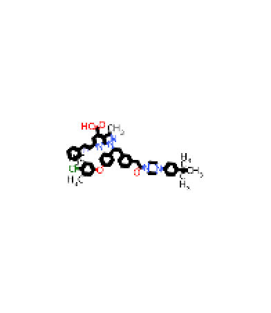 Cc1cc(Oc2ccc(C(Cc3cccc(CC(=O)N4CCN(c5ccc(C(C)(C)C)cc5)CC4)c3)n3nc(C)c4c(C(=O)O)cc(/C=C/c5ccccc5)nc43)cc2)cc(C)c1Cl